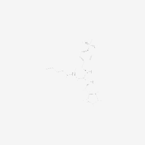 CCCCCN1CC(c2ccc(S(C)(=O)=O)cc2)NC([S+]([O-])CC2CCCS2)C1